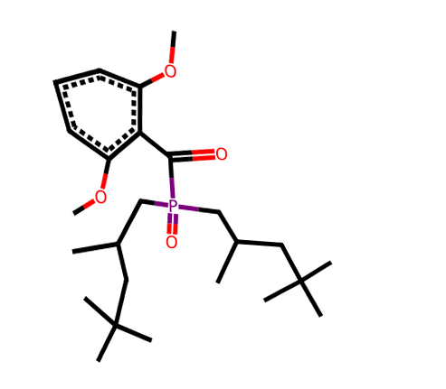 COc1cccc(OC)c1C(=O)P(=O)(CC(C)CC(C)(C)C)CC(C)CC(C)(C)C